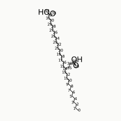 CCCCCCCCCCCCCCC(CCCCCCCCCCCCCCCCCC(=O)O)CCC(=O)O